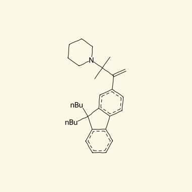 C=C(c1ccc2c(c1)C(CCCC)(CCCC)c1ccccc1-2)C(C)(C)N1CCCCC1